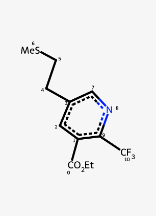 CCOC(=O)c1cc(CCSC)cnc1C(F)(F)F